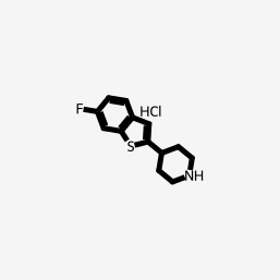 Cl.Fc1ccc2cc(C3CCNCC3)sc2c1